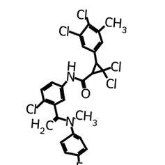 C=C(c1cc(NC(=O)C2C(c3cc(C)c(Cl)c(Cl)c3)C2(Cl)Cl)ccc1Cl)N(C)c1ccc(F)cc1